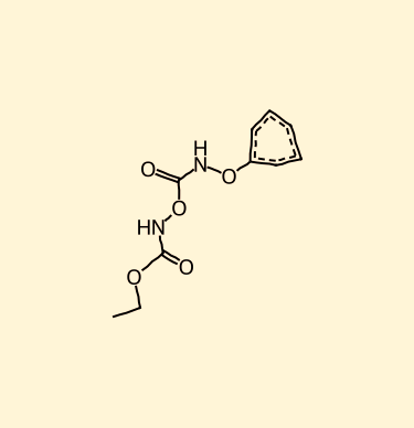 CCOC(=O)NOC(=O)NOc1ccccc1